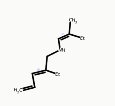 C=C/C=C(\CC)CN/C=C(/C)CC